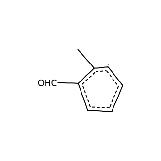 Cc1[c]cccc1C=O